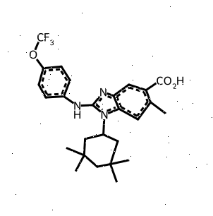 Cc1cc2c(cc1C(=O)O)nc(Nc1ccc(OC(F)(F)F)cc1)n2C1CC(C)(C)CC(C)(C)C1